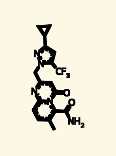 Cc1ccc2nc(Cn3nc(C4CC4)cc3C(F)(F)F)cc(=O)n2c1C(N)=O